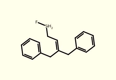 F[SiH2]CC=C(Cc1ccccc1)Cc1ccccc1